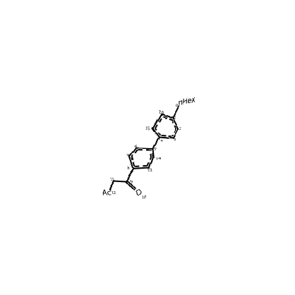 CCCCCCc1ccc(-c2ccc(C(=O)CC(C)=O)cc2)cc1